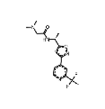 C[C@H](NC(=O)CN(C)C)c1nc(-c2ccnc(C(F)(F)F)c2)no1